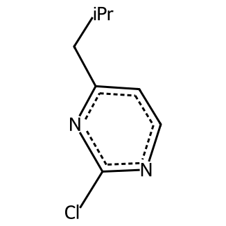 CC(C)Cc1ccnc(Cl)n1